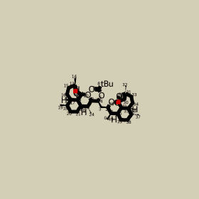 C[C@H]1[C@@H](C[C@H](OC(=O)C(C)(C)C)C2O[C@@H]3C[C@]4(C)CC[C@H]5[C@H](C)CC[C@@H]([C@H]2C)[C@@]35OO4)O[C@@H]2C[C@]3(C)CC[C@H]4[C@H](C)CC[C@@H]1[C@@]24OO3